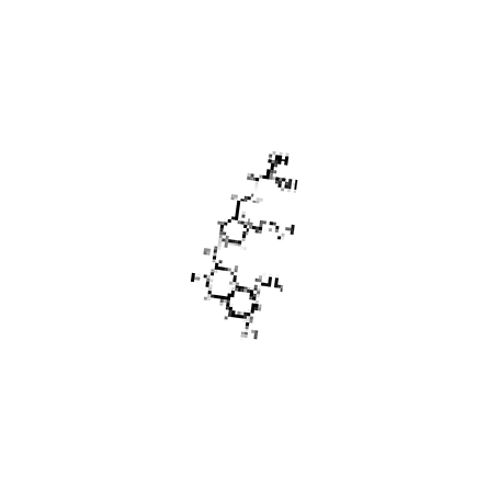 Cc1cc(Cl)cc2c1CC(CN1CC(CCCB(O)O)C(C(=O)O)C1)NC2